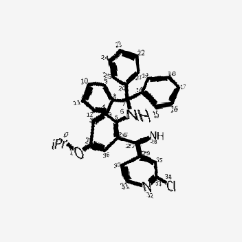 CC(C)Oc1ccc(NC(c2ccccc2)(c2ccccc2)c2ccccc2)c(C(=N)c2ccnc(Cl)c2)c1